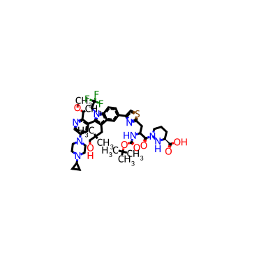 COC(C)c1ncc(N2CCN(C3CC3)CC2)cc1-c1c(CC(C)(C)CO)c2cc(-c3csc(CC(NC(=O)OC(C)(C)C)C(=O)N4CCC[C@@H](C(=O)O)N4)n3)ccc2n1CC(F)(F)F